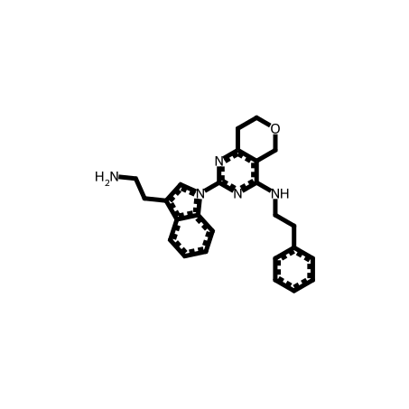 NCCc1cn(-c2nc3c(c(NCCc4ccccc4)n2)COCC3)c2ccccc12